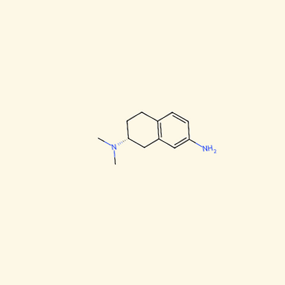 CN(C)[C@@H]1CCc2ccc(N)cc2C1